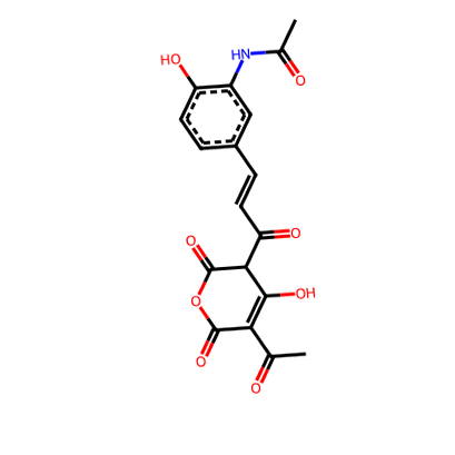 CC(=O)Nc1cc(C=CC(=O)C2C(=O)OC(=O)C(C(C)=O)=C2O)ccc1O